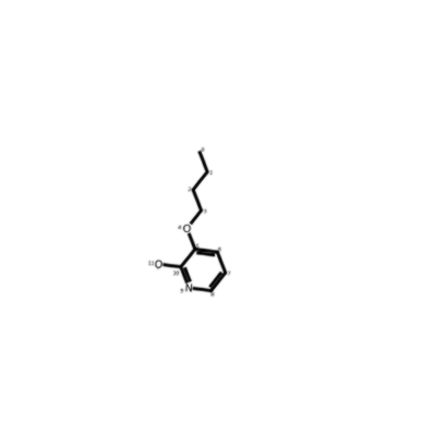 CCCCOc1cccnc1[O]